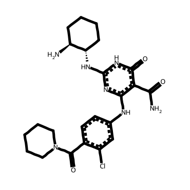 NC(=O)c1c(Nc2ccc(C(=O)N3CCCCC3)c(Cl)c2)nc(N[C@H]2CCCC[C@@H]2N)[nH]c1=O